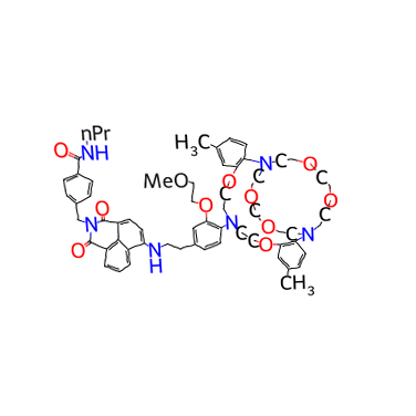 CCCNC(=O)c1ccc(CN2C(=O)c3cccc4c(NCCc5ccc(N6CCOc7cc(C)ccc7N7CCOCCOCCN(CCOCCOCC7)c7ccc(C)cc7OCC6)c(OCCOC)c5)ccc(c34)C2=O)cc1